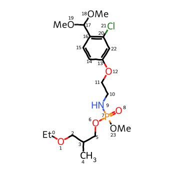 CCOCC(C)COP(=O)(NCCOc1ccc(C(OC)OC)c(Cl)c1)OC